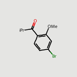 COc1cc(Br)ccc1C(=O)C(C)C